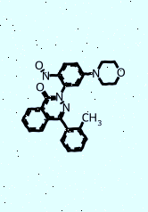 Cc1ccccc1-c1nn(-c2cc(N3CCOCC3)ccc2N=O)c(=O)c2ccccc12